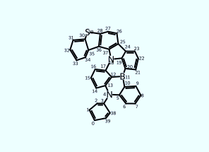 c1ccc(N2c3ccccc3B3c4c2cccc4-n2c4c3cccc4c3ccc4sc5ccccc5c4c32)cc1